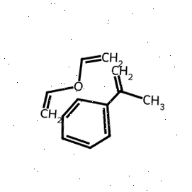 C=C(C)c1ccccc1.C=COC=C